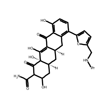 CC(C)NCc1ccc(-c2ccc(O)c3c2C[C@H]2C[C@H]4CC(O)C(C(N)=O)C(=O)[C@@]4(O)C(O)=C2C3=O)o1